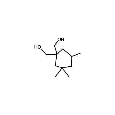 CC1CC(C)(C)CC(CO)(CO)C1